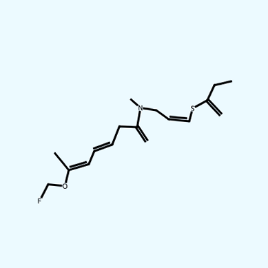 C=C(CC)S/C=C\CN(C)C(=C)C/C=C/C=C(\C)OCF